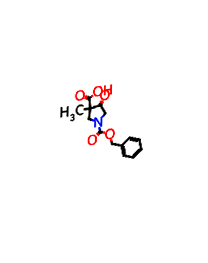 CC1(C(=O)O)CN(C(=O)OCc2ccccc2)CC1=O